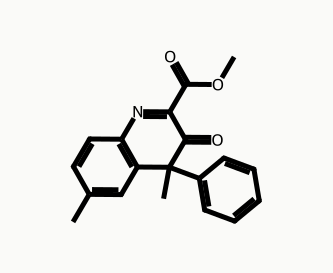 COC(=O)C1=Nc2ccc(C)cc2C(C)(c2ccccc2)C1=O